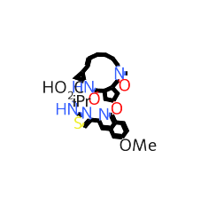 COc1ccc2c(OC3CC4C(=O)NC5(C(=O)O)CC5/C=C/CCCCN(C)C(=O)C4C3)nc(-c3csc(NC(C)C)n3)cc2c1